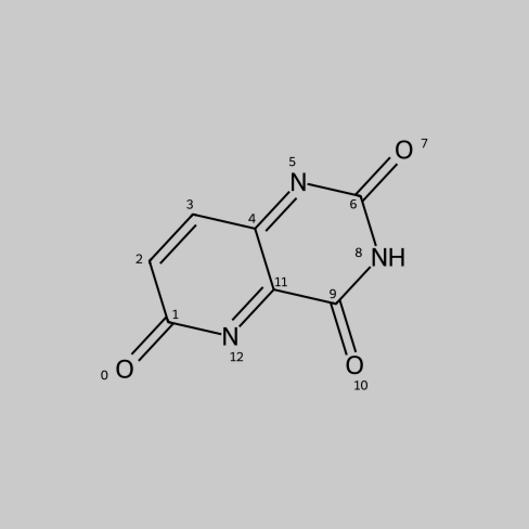 O=C1C=CC2=NC(=O)NC(=O)C2=N1